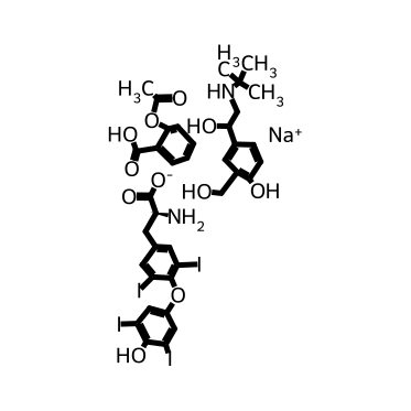 CC(=O)Oc1ccccc1C(=O)O.CC(C)(C)NCC(O)c1ccc(O)c(CO)c1.N[C@@H](Cc1cc(I)c(Oc2cc(I)c(O)c(I)c2)c(I)c1)C(=O)[O-].[Na+]